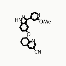 COc1cc(-c2n[nH]c3ccc(O[C@H]4CCCc5cc(C#N)cnc54)cc23)ccn1